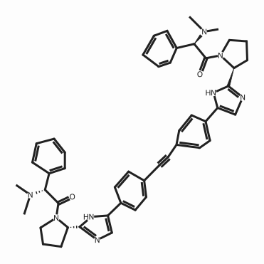 CN(C)[C@@H](C(=O)N1CCC[C@H]1c1ncc(-c2ccc(C#Cc3ccc(-c4cnc([C@@H]5CCCN5C(=O)[C@@H](c5ccccc5)N(C)C)[nH]4)cc3)cc2)[nH]1)c1ccccc1